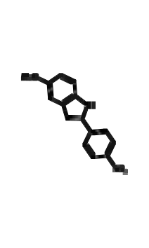 COc1ccc2[nH]c(-c3ccc([N+](=O)[O-])cc3)cc2c1